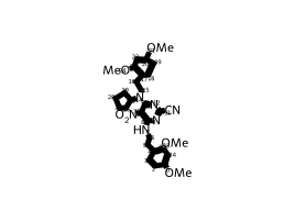 COc1ccc(CCNc2nc(C#N)nc(N(CCc3ccc(OC)cc3OC)C3CCCC3)c2[N+](=O)[O-])c(OC)c1